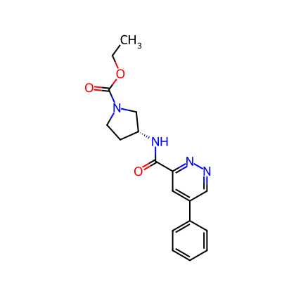 CCOC(=O)N1CC[C@@H](NC(=O)c2cc(-c3ccccc3)cnn2)C1